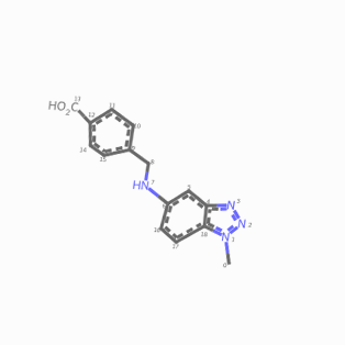 Cn1nnc2cc(NCc3ccc(C(=O)O)cc3)ccc21